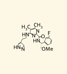 COC[C@H](NC(=O)c1nc(C)c(C)c(NCCc2cn[nH]c2)n1)c1cccc(F)c1